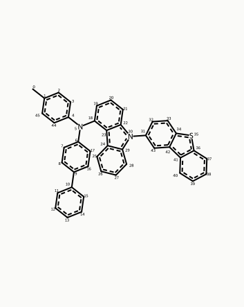 Cc1ccc(N(c2ccc(-c3ccccc3)cc2)c2cccc3c2c2ccccc2n3-c2ccc3sc4ccccc4c3c2)cc1